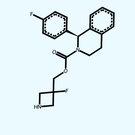 O=C(OCC1(F)CNC1)N1CCc2ccccc2[C@@H]1c1ccc(F)cc1